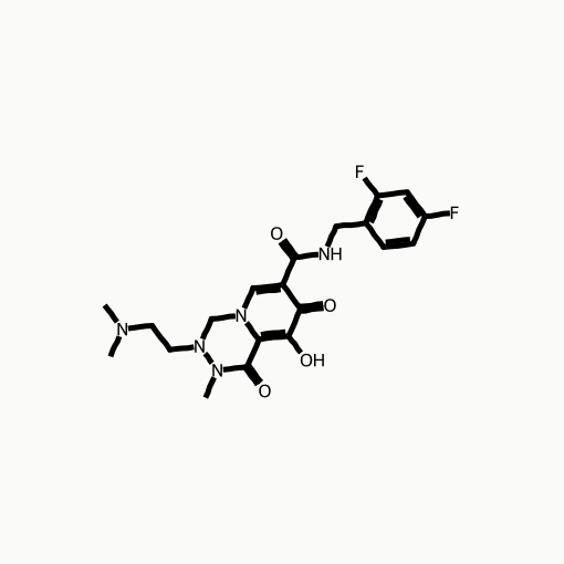 CN(C)CCN1Cn2cc(C(=O)NCc3ccc(F)cc3F)c(=O)c(O)c2C(=O)N1C